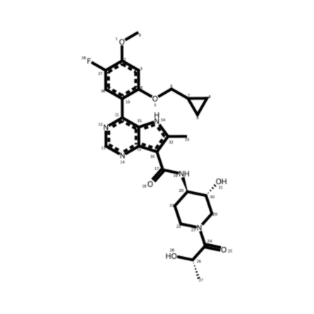 COc1cc(OCC2CC2)c(-c2ncnc3c(C(=O)N[C@@H]4CCN(C(=O)[C@H](C)O)C[C@H]4O)c(C)[nH]c23)cc1F